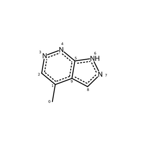 Cc1cnnc2[nH]ncc12